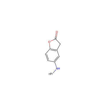 CCCNc1ccc2c(c1)CC(=O)O2